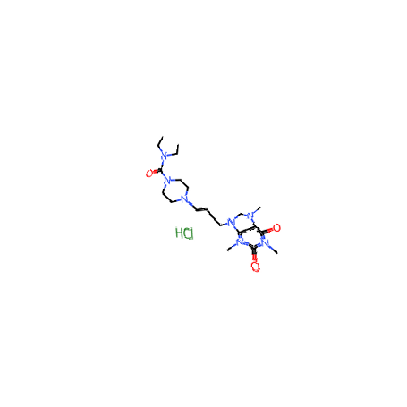 CCN(CC)C(=O)N1CCN(CCCN2CN(C)c3c2n(C)c(=O)n(C)c3=O)CC1.Cl